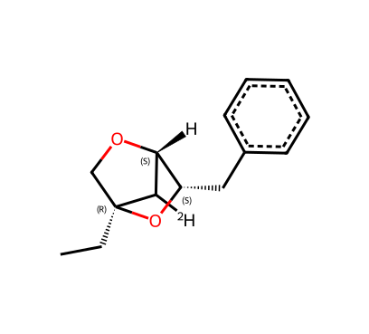 [2H]C1[C@@H]2OC[C@]1(CC)O[C@H]2Cc1ccccc1